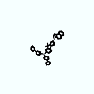 CC1(C)c2cc(N(c3ccc(-c4ccccc4)cc3)c3ccc(-c4ccccc4)cc3)ccc2-c2ccc(-n3ccc4c5ccccc5ccc43)cc21